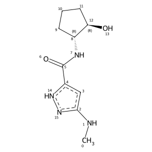 CNc1cc(C(=O)N[C@@H]2CCC[C@H]2O)[nH]n1